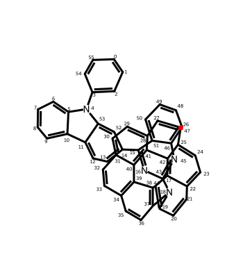 c1ccc(-n2c3ccccc3c3ccc(-c4nc(-n5c6ccc7ccc8ccc9ccc%10ccc%11ccc5c5c%11c%10c9c8c7c56)nc5ccccc45)cc32)cc1